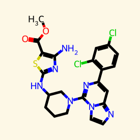 COC(=O)c1sc(NC2CCCN(c3nc(-c4ccc(Cl)cc4Cl)cc4nccn34)C2)nc1N